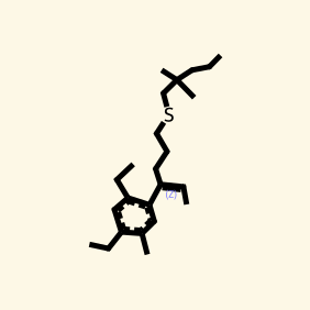 C/C=C(/CCCSCC(C)(C)CCC)c1cc(C)c(CC)cc1CC